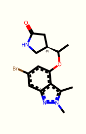 Cc1c2c(OC(C)[C@H]3CNC(=O)C3)cc(Br)cc2nn1C